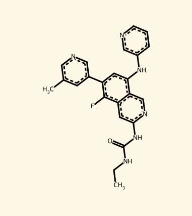 CCNC(=O)Nc1cc2c(F)c(-c3cncc(C)c3)cc(Nc3cccnc3)c2cn1